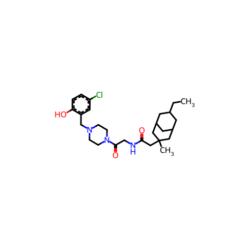 CCC1CC2CC(C1)CC(C)(CC(=O)NCC(=O)N1CCN(Cc3cc(Cl)ccc3O)CC1)C2